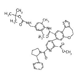 COC(=O)c1nc(C(=O)N2CCCC2c2ccccc2)ccc1-c1cc2c(cc1C(=O)Nc1c(C)cc(CNC(=O)OC(C)(C)C)cc1C)-c1sccc1CCO2